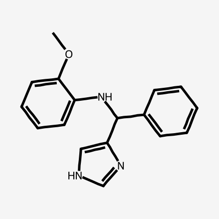 COc1ccccc1NC(c1ccccc1)c1c[nH]cn1